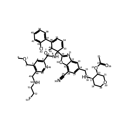 COCc1cc(C(=O)NC2(c3nc4cc(CN[C@@H]5CCOC[C@@H]5OC(C)=O)cc(C#N)c4o3)C=CC=C(c3ccccc3Cl)C2C)ncc1CNCCF